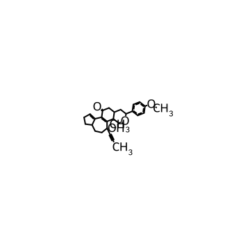 CC#CC1(O)CCC2CCC=C2C2=C1C1(C)COC(c3ccc(OC)cc3)CC1CC2=O